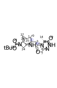 C/C(=C(\C=C1/COCC2=NNC(=O)[C@@H](C)N21)NC1CN(C(=O)OC(C)(C)C)C1)C1CC1